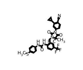 CSc1ccc(NC(=O)Nc2ccc(C(F)(F)F)cc2CN2C(=O)N(c3ccc(C#N)c(C4CC4)c3)C(=O)C2(C)C)cc1